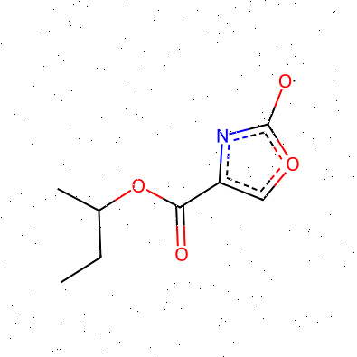 CCC(C)OC(=O)c1coc([O])n1